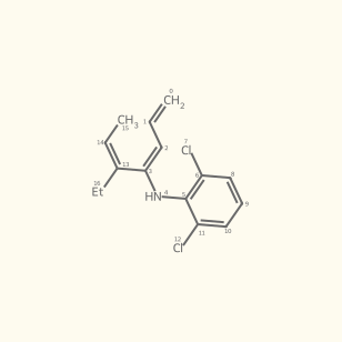 C=C/C=C(Nc1c(Cl)cccc1Cl)\C(=C/C)CC